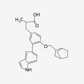 CC(Cc1ccc(OCC2CC3CCC2C3)c(-c2ccc3[nH]ccc3c2)c1)C(=O)O